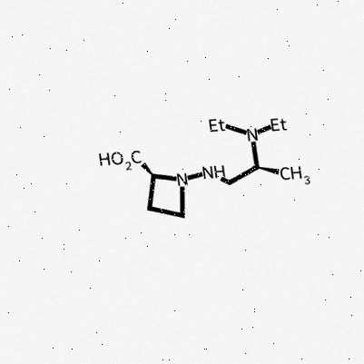 CCN(CC)[C@@H](C)CNN1CC[C@H]1C(=O)O